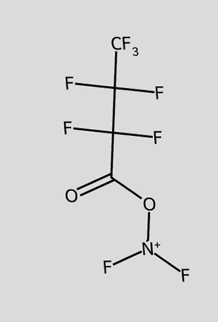 O=C(O[N+](F)F)C(F)(F)C(F)(F)C(F)(F)F